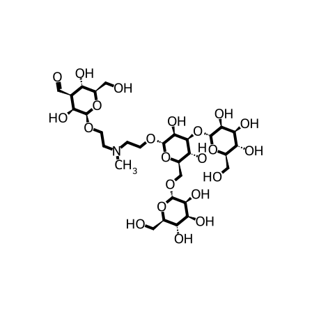 CN(CCO[C@@H]1O[C@H](CO)[C@@H](O)[C@H](C=O)[C@@H]1O)CCO[C@H]1O[C@H](CO[C@H]2O[C@H](CO)[C@@H](O)[C@H](O)[C@@H]2O)[C@@H](O)[C@H](O[C@H]2O[C@H](CO)[C@@H](O)[C@H](O)[C@@H]2O)[C@@H]1O